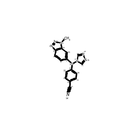 Cn1nnc2ccc(N(c3ccc(C#N)cc3)n3cnnc3)cc21